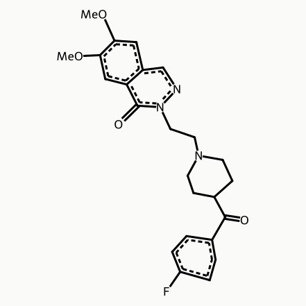 COc1cc2cnn(CCN3CCC(C(=O)c4ccc(F)cc4)CC3)c(=O)c2cc1OC